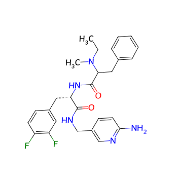 CCN(C)C(Cc1ccccc1)C(=O)N[C@@H](Cc1ccc(F)c(F)c1)C(=O)NCc1ccc(N)nc1